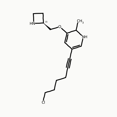 CC1NC=C(C#CCCCCCl)C=C1OC[C@@H]1CCN1